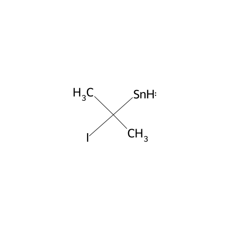 C[C](C)([SnH])I